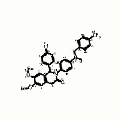 CCC(C)Oc1cc2c(cc1OC)CC(=O)N(c1ccc(N(C)Cc3ccc(C(F)(F)F)cc3)cc1)C2c1ccc(Cl)cc1